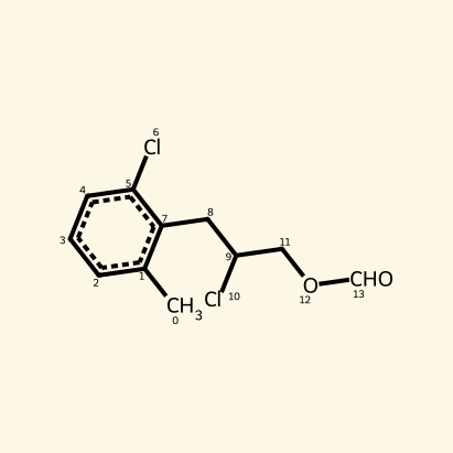 Cc1cccc(Cl)c1CC(Cl)COC=O